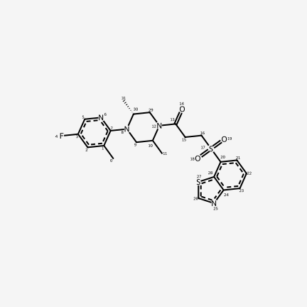 Cc1cc(F)cnc1N1CC(C)N(C(=O)CCS(=O)(=O)c2cccc3ncsc23)C[C@H]1C